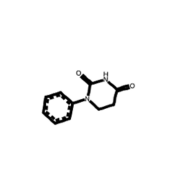 O=C1CCN(c2ccccc2)C(=O)N1